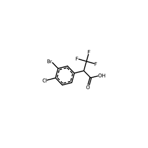 O=C(O)C(c1ccc(Cl)c(Br)c1)C(F)(F)F